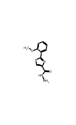 COc1ccccc1-c1nc(C(=O)NN)cs1